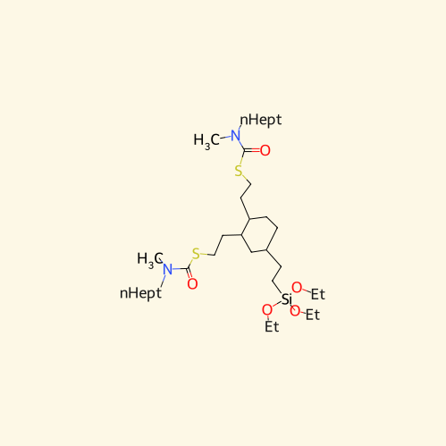 CCCCCCCN(C)C(=O)SCCC1CCC(CC[Si](OCC)(OCC)OCC)CC1CCSC(=O)N(C)CCCCCCC